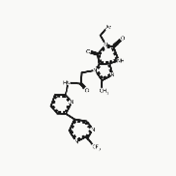 CC(=O)Cn1c(=O)[nH]c2nc(C)n(CC(=O)Nc3cccc(-c4cnc(C(F)(F)F)nc4)n3)c2c1=O